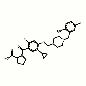 Nc1ccc(F)cc1CN1CCC(COc2cc(F)c(C(=O)N3CCCC3C(=O)O)cc2C2CC2)CC1